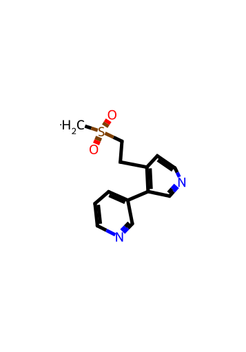 [CH2]S(=O)(=O)CCc1ccncc1-c1cccnc1